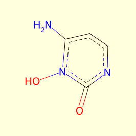 Nc1ccnc(=O)n1O